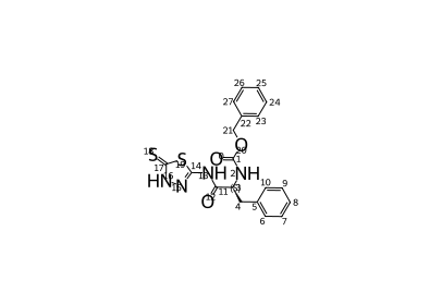 O=C(N[C@@H](Cc1ccccc1)C(=O)Nc1n[nH]c(=S)s1)OCc1ccccc1